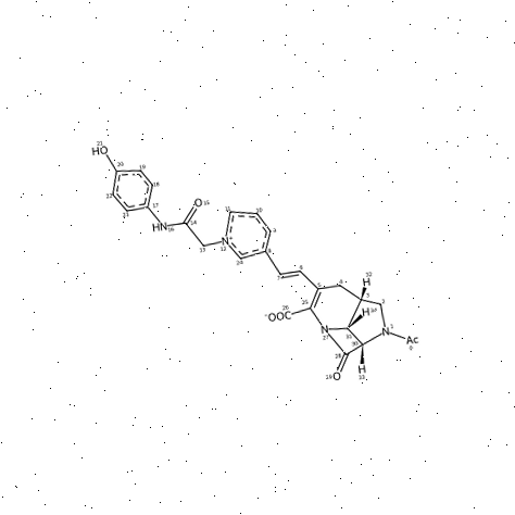 CC(=O)N1C[C@H]2CC(/C=C/c3ccc[n+](CC(=O)Nc4ccc(O)cc4)c3)=C(C(=O)[O-])N3C(=O)[C@@H]1[C@@H]23